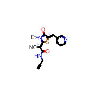 C#CCNC(=O)/C(C#N)=c1\s/c(=C\c2cccnc2)c(=O)n1CC